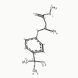 COC(=O)C(N)Cc1ccc(C(C)(C)C)cc1